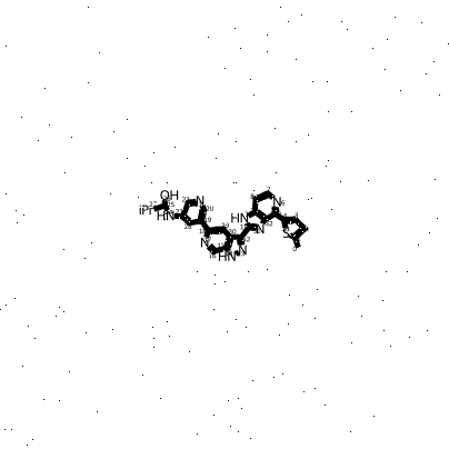 Cc1ccc(-c2nccc3[nH]c(-c4n[nH]c5cnc(-c6cncc(NC(O)C(C)C)c6)cc45)nc23)s1